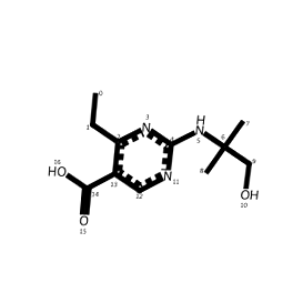 CCc1nc(NC(C)(C)CO)ncc1C(=O)O